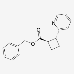 O=C(OCc1ccccc1)[C@@H]1CC[C@H]1c1ccccn1